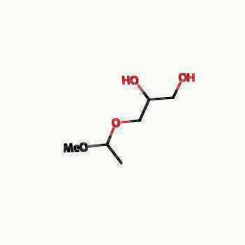 COC(C)OCC(O)CO